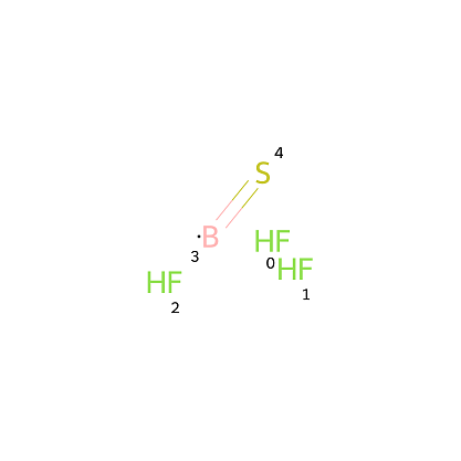 F.F.F.[B]=S